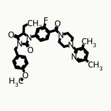 CCC1C(=O)N(Cc2ccc(OC)cc2)C(=O)N1c1ccc(C(=O)N2CCN(c3ncc(C)cc3C)CC2)c(F)c1